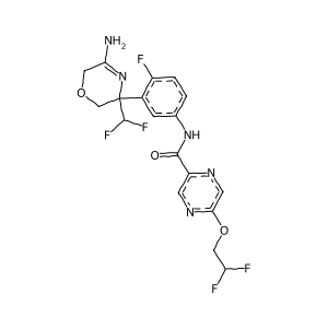 NC1=NC(c2cc(NC(=O)c3cnc(OCC(F)F)cn3)ccc2F)(C(F)F)COC1